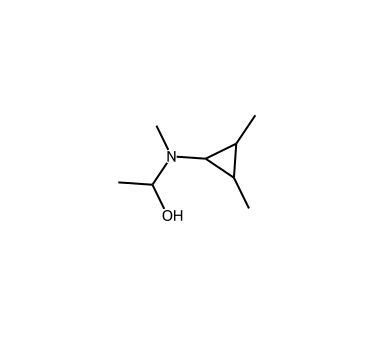 CC1C(C)C1N(C)C(C)O